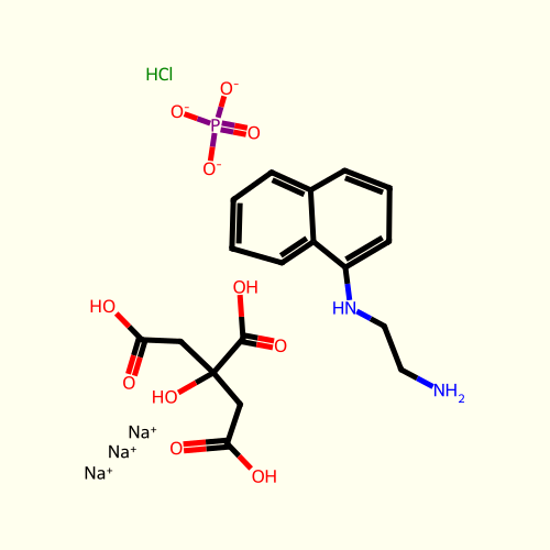 Cl.NCCNc1cccc2ccccc12.O=C(O)CC(O)(CC(=O)O)C(=O)O.O=P([O-])([O-])[O-].[Na+].[Na+].[Na+]